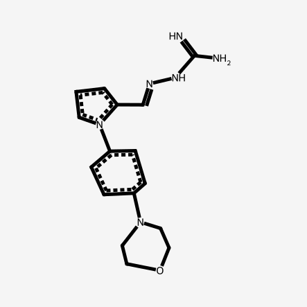 N=C(N)NN=Cc1cccn1-c1ccc(N2CCOCC2)cc1